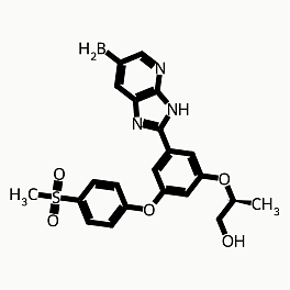 Bc1cnc2[nH]c(-c3cc(Oc4ccc(S(C)(=O)=O)cc4)cc(O[C@@H](C)CO)c3)nc2c1